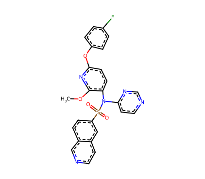 COc1nc(Oc2ccc(F)cc2)ccc1N(c1ccncn1)S(=O)(=O)c1ccc2cnccc2c1